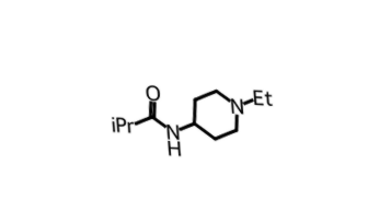 CCN1CCC(NC(=O)C(C)C)CC1